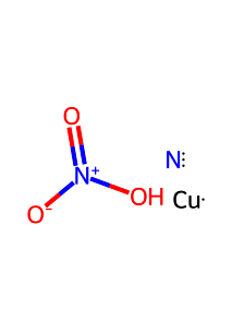 O=[N+]([O-])O.[Cu].[N]